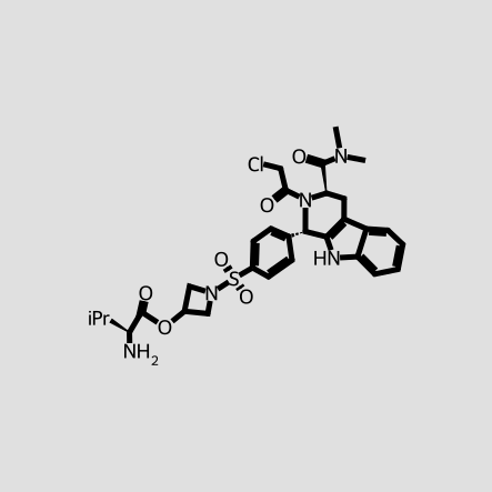 CC(C)[C@H](N)C(=O)OC1CN(S(=O)(=O)c2ccc([C@H]3c4[nH]c5ccccc5c4C[C@H](C(=O)N(C)C)N3C(=O)CCl)cc2)C1